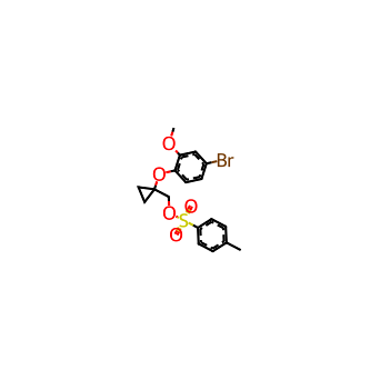 COc1cc(Br)ccc1OC1(COS(=O)(=O)c2ccc(C)cc2)CC1